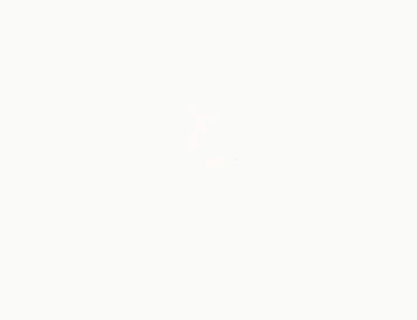 Cc1cc(C)c(C(=O)c2ccccc2[PH](=O)CC(C)CC(C)(C)C)c(C)c1